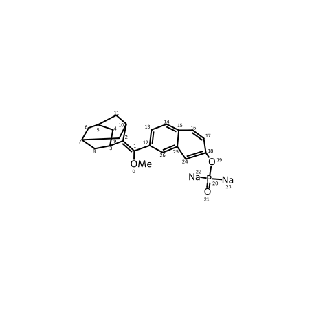 COC(=C1C2CC3CC(C2)CC1C3)c1ccc2ccc(O[P](=O)([Na])[Na])cc2c1